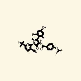 COc1cc(F)c(-c2c(NC(=O)c3ccc(OC(F)F)cc3)c(=O)n(-c3nc(C(C)(C)F)ccc3C#N)n2C)c(F)c1